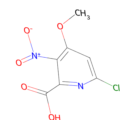 COc1cc(Cl)nc(C(=O)O)c1[N+](=O)[O-]